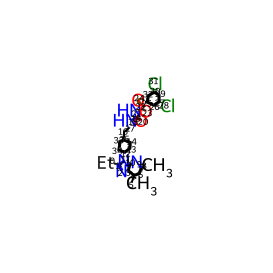 CCc1nc2c(C)cc(C)nc2n1-c1ccc(CCNC(=O)NS(=O)(=O)c2cc(Cl)cc(Cl)c2)cc1